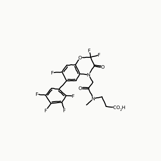 CN(CCC(=O)O)C(=O)CN1C(=O)C(F)(F)Oc2cc(F)c(-c3cc(F)c(F)c(F)c3F)cc21